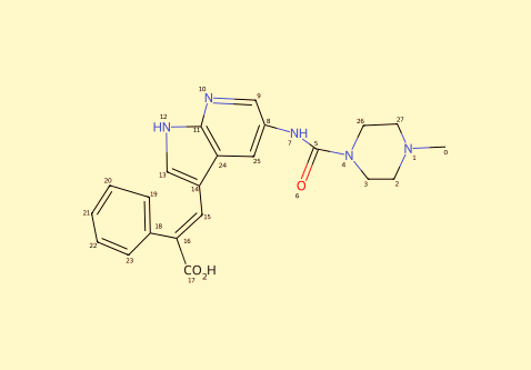 CN1CCN(C(=O)Nc2cnc3[nH]cc(C=C(C(=O)O)c4ccccc4)c3c2)CC1